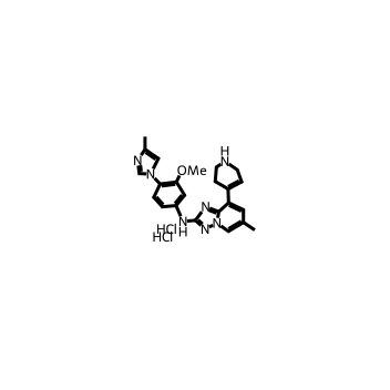 COc1cc(Nc2nc3c(C4=CCNCC4)cc(C)cn3n2)ccc1-n1cnc(C)c1.Cl.Cl